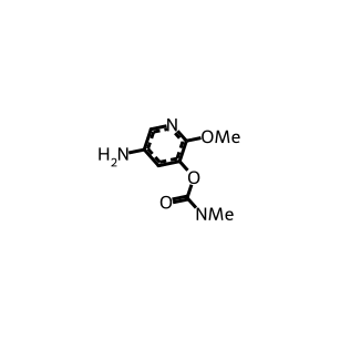 CNC(=O)Oc1cc(N)cnc1OC